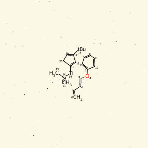 C=CC=COc1ccccc1.C[SiH](C)[Ti][C]1=CC(C(C)(C)C)=CC1